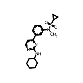 CN(c1cccc(-c2ccnc(NC3CCCCC3)n2)c1)S(=O)(=O)C1CC1